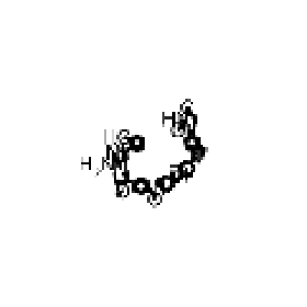 CO[C@H]1CCN(c2cc(-c3ccccc3O)nnc2N)C[C@H]1c1ccc(C(=O)N2CCC(F)(CN3CCC(n4ccc5cc(N6CCC(=O)NC6=O)ccc54)CC3)CC2)cc1